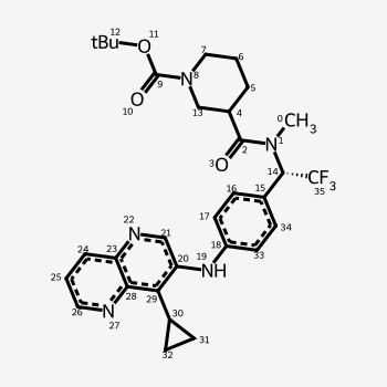 CN(C(=O)C1CCCN(C(=O)OC(C)(C)C)C1)[C@@H](c1ccc(Nc2cnc3cccnc3c2C2CC2)cc1)C(F)(F)F